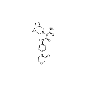 NC(=O)[C@H](C(=O)Nc1ccc(N2CCOCC2=O)cc1)N(CC1CCC1)CC1CC1